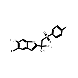 Cc1cc2[nH]c(C(C)(O)CS(=O)(=O)c3ccc(F)cc3)cc2cc1Cl